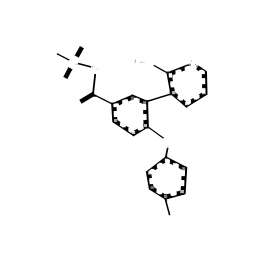 COc1ncccc1-c1cc(C(=O)NS(C)(=O)=O)ccc1Oc1ccc(Cl)cc1